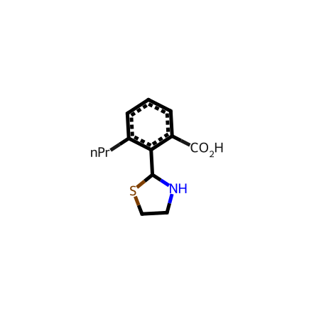 CCCc1cccc(C(=O)O)c1C1NCCS1